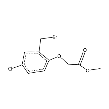 COC(=O)COc1ccc(Cl)cc1CBr